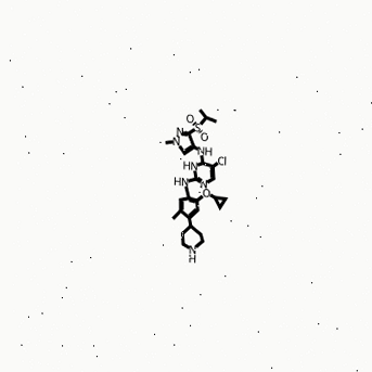 Cc1cc(NC2=NC=C(Cl)C(Nc3cn(C)nc3S(=O)(=O)C(C)C)N2)c(OC2CC2)cc1C1CCNCC1